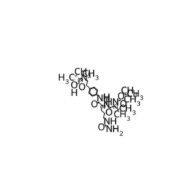 CC(C)[C@H](NC(=O)OC(C)(C)C)C(=O)N[C@@H](CCCNC(N)=O)C(=O)Nc1ccc(CCN(C)[C@H](C(=O)O)C(C)C)cc1